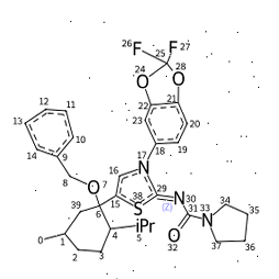 CC1CCC(C(C)C)C(OCc2ccccc2)(c2cn(-c3ccc4c(c3)OC(F)(F)O4)/c(=N/C(=O)N3CCCC3)s2)C1